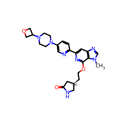 Cn1cnc2cc(-c3ccc(N4CCN(C5COC5)CC4)cn3)nc(OCC[C@H]3CNC(=O)C3)c21